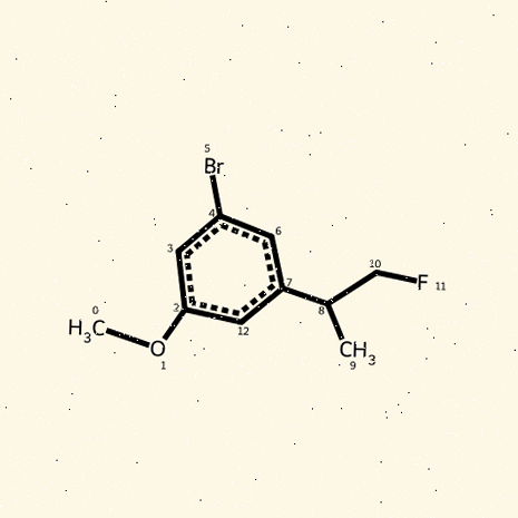 COc1cc(Br)cc([C](C)CF)c1